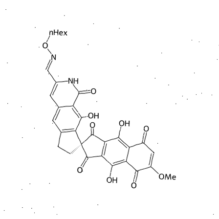 CCCCCCO/N=C/c1cc2cc3c(c(O)c2c(=O)[nH]1)[C@@]1(CC3)C(=O)c2c(O)c3c(c(O)c2C1=O)C(=O)C(OC)=CC3=O